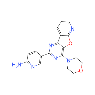 Nc1ccc(-c2nc(N3CCOCC3)c3oc4ncccc4c3n2)cn1